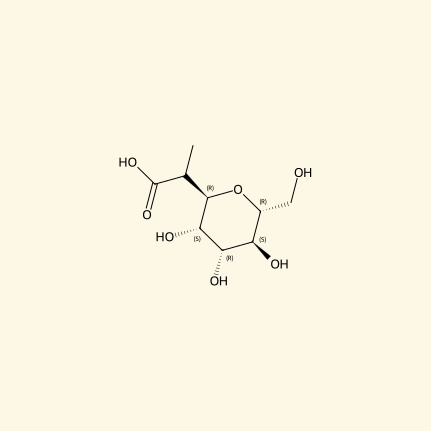 CC(C(=O)O)[C@H]1O[C@H](CO)[C@@H](O)[C@H](O)[C@@H]1O